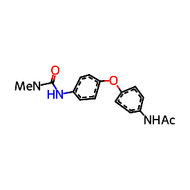 CNC(=O)Nc1ccc(Oc2ccc(NC(C)=O)cc2)cc1